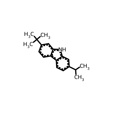 CC(C)c1ccc2c(c1)[nH]c1cc(C(C)(C)C)ccc12